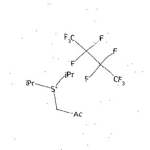 CC(=O)C[S+](C(C)C)C(C)C.FC(F)(F)C(F)(F)C(F)(F)C(F)(F)F